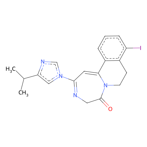 CC(C)c1cn(C2=NCC(=O)N3CCc4c(I)cccc4C3=C2)cn1